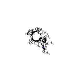 CC[C@H]1OC(=O)[C@H](C)[C@@H](O)[C@H](C)[C@@H](O[C@@H]2O[C@H](C)C[C@H](N(C)C)[C@H]2O/C=C/C(=O)OC)[C@@](C)(O)C[C@@H](C)CN(C)[C@H](C)[C@@H](O)[C@]1(C)O